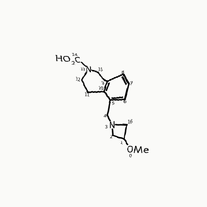 COC1CN(Cc2cccc3c2CCN(C(=O)O)C3)C1